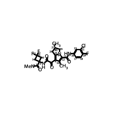 CNC(=O)C1(NC(=O)C(=O)c2c(C)c(C(=O)Nc3ccc(F)c(Cl)c3)n3c2C[C@@H](C)C3)CC(F)(F)C1